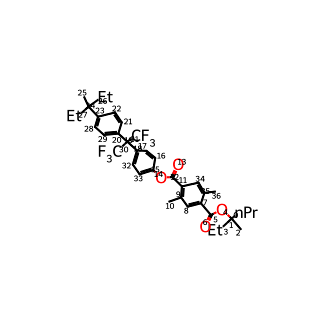 CCCC(C)(CC)OC(=O)c1cc(C)c(C(=O)Oc2ccc(C(c3ccc(C(C)(CC)CC)cc3)(C(F)(F)F)C(F)(F)F)cc2)cc1C